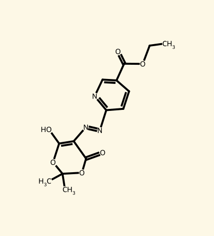 CCOC(=O)c1ccc(N=NC2=C(O)OC(C)(C)OC2=O)nc1